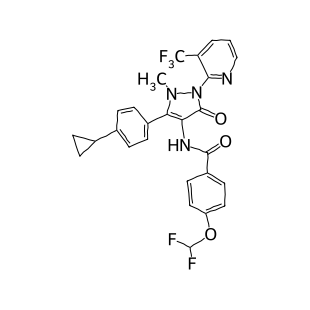 Cn1c(-c2ccc(C3CC3)cc2)c(NC(=O)c2ccc(OC(F)F)cc2)c(=O)n1-c1ncccc1C(F)(F)F